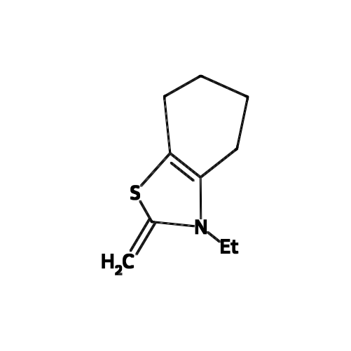 C=C1SC2=C(CCCC2)N1CC